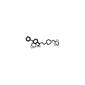 OCc1c(-c2ccccc2)ccc2c(CCC3CCN(CC4OCCO4)CC3)noc12